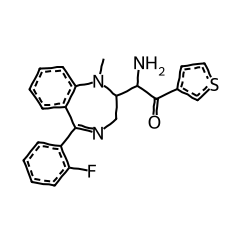 CN1c2ccccc2C(c2ccccc2F)=NCC1C(N)C(=O)c1ccsc1